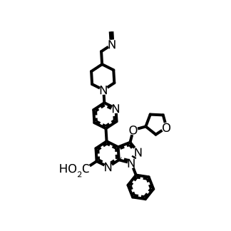 C=NCC1CCN(c2ccc(-c3cc(C(=O)O)nc4c3c(OC3CCOC3)nn4-c3ccccc3)cn2)CC1